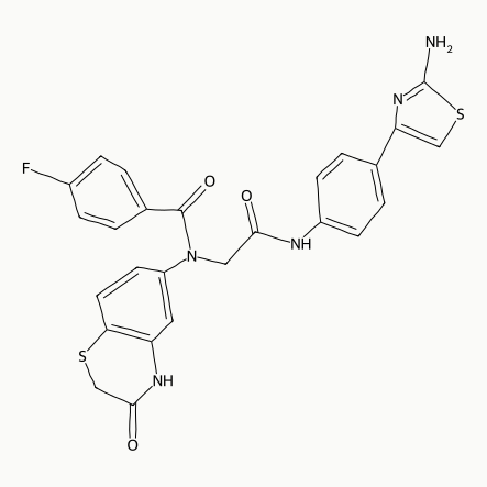 Nc1nc(-c2ccc(NC(=O)CN(C(=O)c3ccc(F)cc3)c3ccc4c(c3)NC(=O)CS4)cc2)cs1